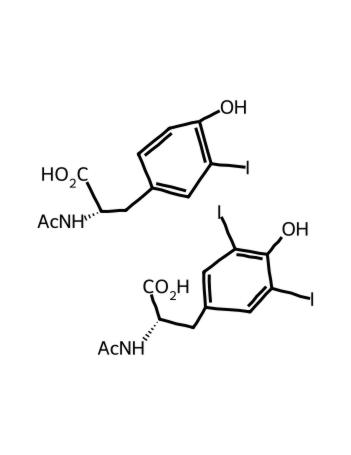 CC(=O)N[C@@H](Cc1cc(I)c(O)c(I)c1)C(=O)O.CC(=O)N[C@@H](Cc1ccc(O)c(I)c1)C(=O)O